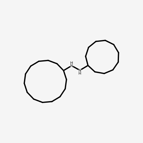 C1CCCCCCC(NNC2CCCCCCCCCC2)CCCCCC1